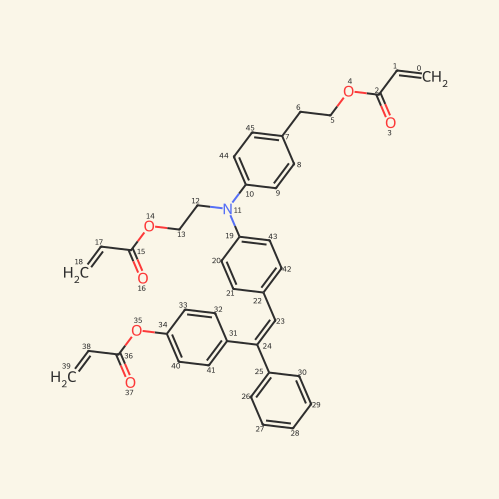 C=CC(=O)OCCc1ccc(N(CCOC(=O)C=C)c2ccc(C=C(c3ccccc3)c3ccc(OC(=O)C=C)cc3)cc2)cc1